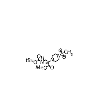 COC(=O)[C@@H](CNC(=O)OC(C)(C)C)N1CCN(S(C)(=O)=O)CC1